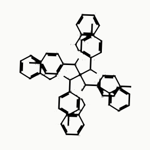 Cc1ccc(C(OCc2ccccc2)C(C(OCc2ccccc2)c2ccc(C)cc2)(C(OCc2ccccc2)c2ccc(C)cc2)C(OCc2ccccc2)c2ccc(C)cc2)cc1